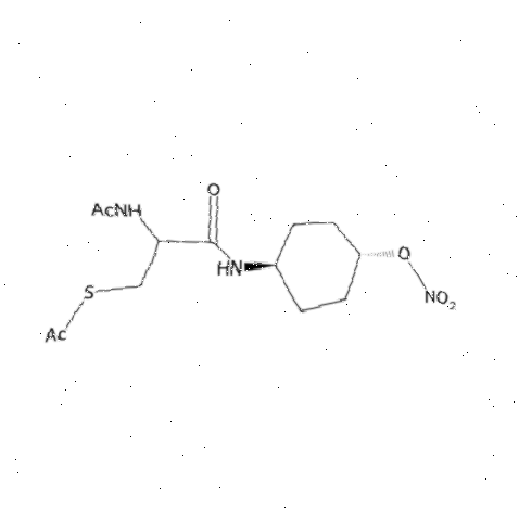 CC(=O)NC(CSC(C)=O)C(=O)N[C@H]1CC[C@H](O[N+](=O)[O-])CC1